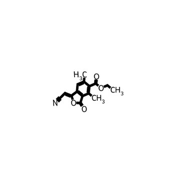 CCOC(=O)c1c(C)cc2c(c1C)C(=O)O/C2=C\C#N